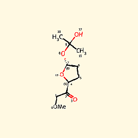 COCC(=O)[C@@H]1CC[C@@H](OC(C)(C)O)O1